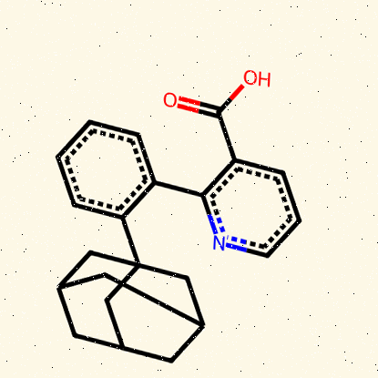 O=C(O)c1cccnc1-c1ccccc1C12CC3CC(CC(C3)C1)C2